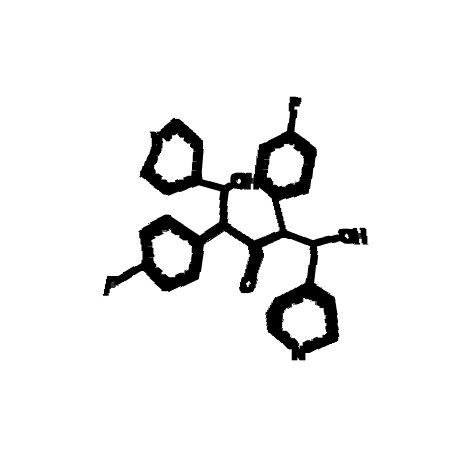 O=C(C(c1ccc(F)cc1)C(O)c1ccncc1)C(c1ccc(F)cc1)C(O)c1ccncc1